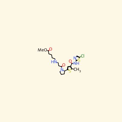 COC(=O)CCCCNCCC(=O)N1CCCC1c1cc(C(=O)Nc2ncc(Cl)s2)c(C)s1